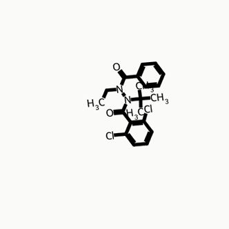 CCN(C(=O)c1ccccc1)N(C(=O)c1c(Cl)cccc1Cl)C(C)(C)C